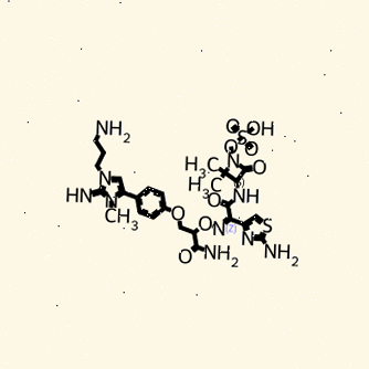 Cn1c(-c2ccc(OCC(O/N=C(\C(=O)N[C@@H]3C(=O)N(OS(=O)(=O)O)C3(C)C)c3csc(N)n3)C(N)=O)cc2)cn(CCCN)c1=N